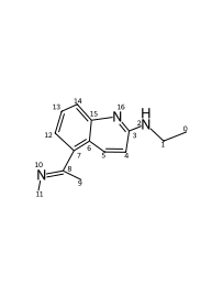 CCNc1ccc2c(/C(C)=N/C)cccc2n1